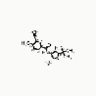 C#Cc1cc(C(=O)Nc2cc(C(C)(C)C)nn2C)ccc1C